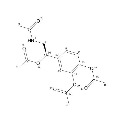 CC(=O)NC[C@H](OC(C)=O)c1ccc(OC(C)=O)c(OC(C)=O)c1